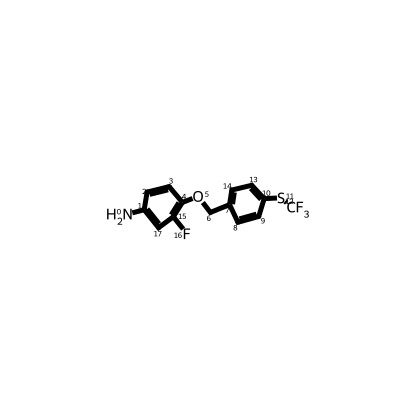 Nc1ccc(OCc2ccc(SC(F)(F)F)cc2)c(F)c1